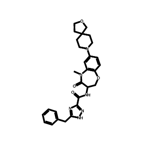 CN1C(=O)C(NC(=O)c2n[nH]c(Cc3ccccc3)n2)COc2ccc(N3CCC4(CCOC4)CC3)cc21